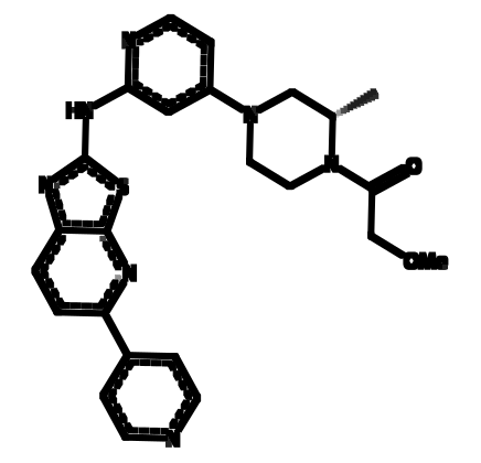 COCC(=O)N1CCN(c2ccnc(Nc3nc4ccc(-c5ccncc5)nc4s3)c2)C[C@@H]1C